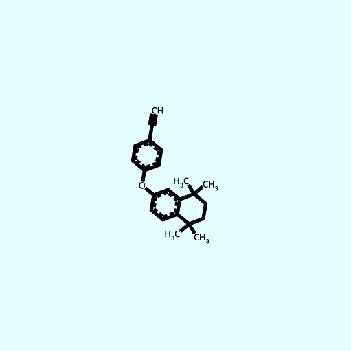 C#Cc1ccc(Oc2ccc3c(c2)C(C)(C)CCC3(C)C)cc1